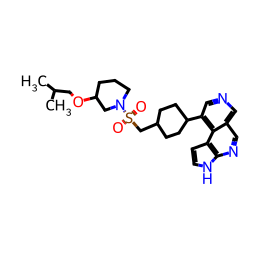 CC(C)COC1CCCN(S(=O)(=O)CC2CCC(c3cncc4cnc5[nH]ccc5c34)CC2)C1